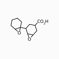 O=C(O)C1CC2OC2C(C23CCCCC2O3)C1